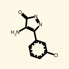 NC1=C(c2cccc(Cl)c2)N=NC1=O